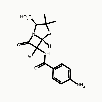 CC(=O)C1(NC(=O)c2ccc(N)cc2)C(=O)N2[C@@H](C(=O)O)C(C)(C)S[C@@H]21